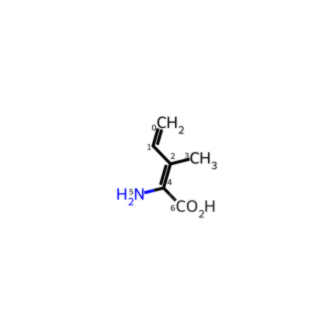 C=C/C(C)=C(\N)C(=O)O